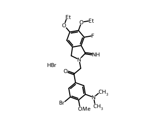 Br.CCOc1cc2c(c(F)c1OCC)C(=N)N(CC(=O)c1cc(Br)c(OC)c(N(C)C)c1)C2